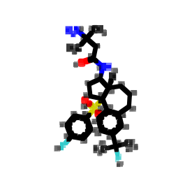 CC(C)(N)CC(=O)N[C@@H]1CC[C@@]2(S(=O)(=O)c3ccc(F)cc3)c3ccc(C(F)(C(F)(F)F)C(F)(F)F)cc3CCC[C@@H]12